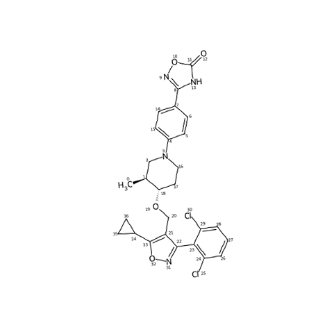 C[C@H]1CN(c2ccc(-c3noc(=O)[nH]3)cc2)CC[C@@H]1OCc1c(-c2c(Cl)cccc2Cl)noc1C1CC1